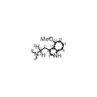 [2H]C([2H])(Cc1c[nH]c2cccc(OC)c12)N(C)C